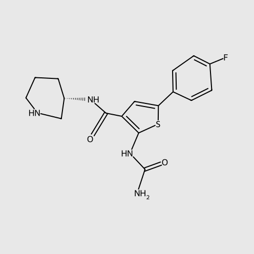 NC(=O)Nc1sc(-c2ccc(F)cc2)cc1C(=O)N[C@H]1CCCNC1